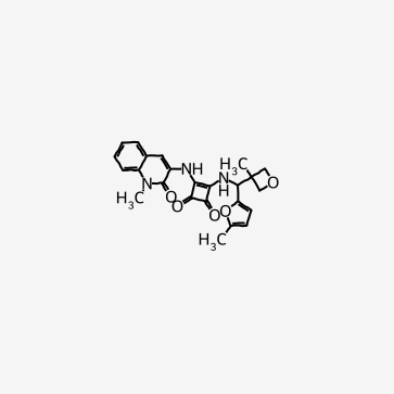 Cc1ccc(C(Nc2c(Nc3cc4ccccc4n(C)c3=O)c(=O)c2=O)C2(C)COC2)o1